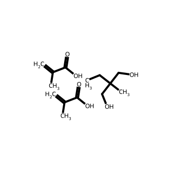 C=C(C)C(=O)O.C=C(C)C(=O)O.CCC(C)(CO)CO